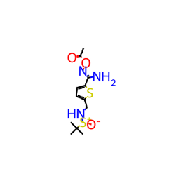 CC(=O)ON=C(N)c1ccc(CN[S@@+]([O-])C(C)(C)C)s1